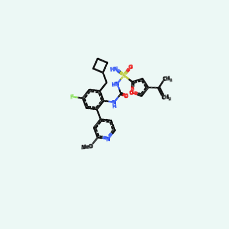 C=C(C)c1coc(S(=N)(=O)NC(=O)Nc2c(CC3CCC3)cc(F)cc2-c2ccnc(OC)c2)c1